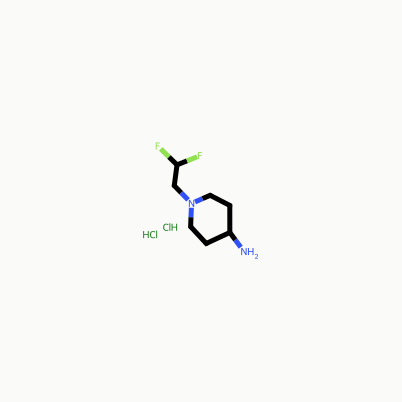 Cl.Cl.NC1CCN(CC(F)F)CC1